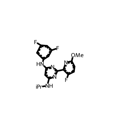 COc1ccc(F)c(-c2nc(Nc3cc(F)cc(F)c3)cc(NC(C)C)n2)n1